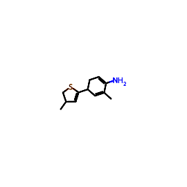 CC1=CC(C2=CC(C)CS2)CC=C1N